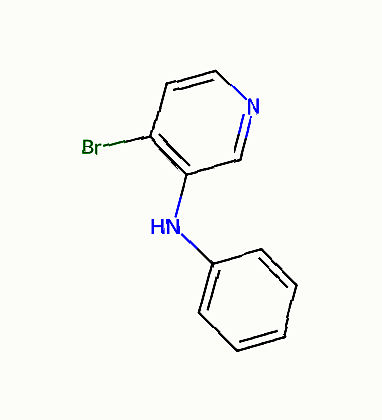 Brc1ccncc1Nc1ccccc1